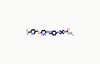 CC(=O)N1CC2(C1)CN(c1ccc(CNc3ccc(OCc4ccc(C(F)F)nc4)nn3)cc1)C2